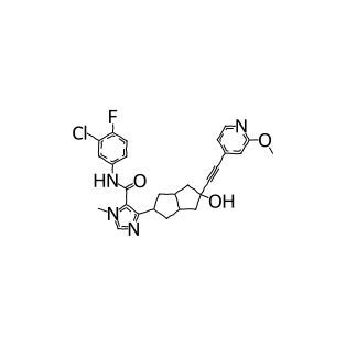 COc1cc(C#CC2(O)CC3CC(c4ncn(C)c4C(=O)Nc4ccc(F)c(Cl)c4)CC3C2)ccn1